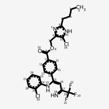 CCCCc1nc(COC(=O)c2ccc(/C(=C/C(=N)C(F)(F)F)Nc3ccccc3Cl)cc2)c(Cl)[nH]1